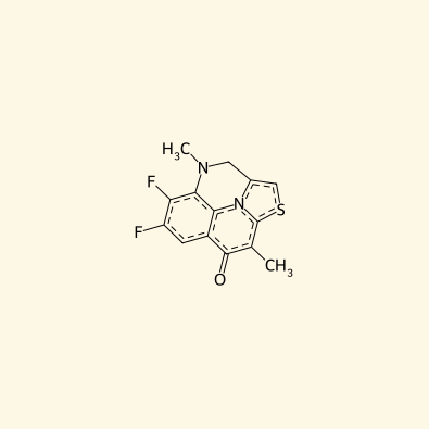 Cc1c(=O)c2cc(F)c(F)c3c2n2c(csc12)CN3C